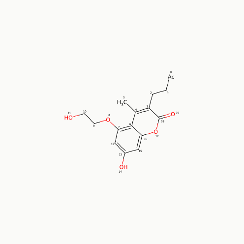 CC(=O)CCc1c(C)c2c(OCCO)cc(O)cc2oc1=O